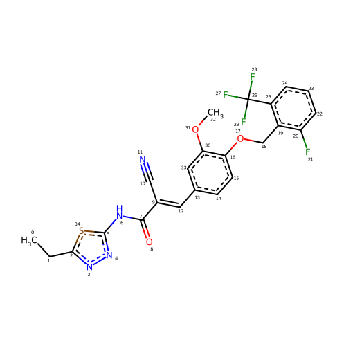 CCc1nnc(NC(=O)/C(C#N)=C/c2ccc(OCc3c(F)cccc3C(F)(F)F)c(OC)c2)s1